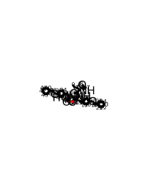 CC[C@@H](C)[C@@H](NC(C)=O)C(=O)N[C@@H](Cc1ccc(OCc2ccccc2)cc1)C(=O)N[C@@H](Cc1ccc(OCc2ccccc2)cc1)P(=O)(O)O